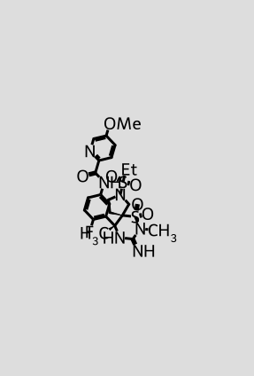 CCS(=O)(=O)N1CC[C@]2(C1)[C@@](C)(c1cc(NC(=O)c3ccc(OC)cn3)ccc1F)NC(=N)N(C)S2(=O)=O